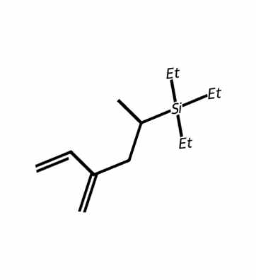 C=CC(=C)CC(C)[Si](CC)(CC)CC